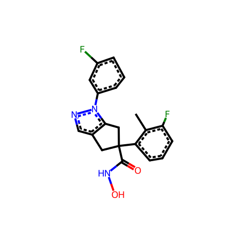 Cc1c(F)cccc1C1(C(=O)NO)Cc2cnn(-c3cccc(F)c3)c2C1